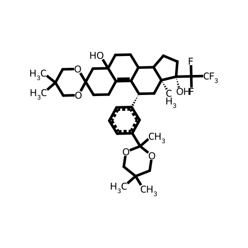 CC1(C)COC2(CCC3=C4C(CCC3(O)C2)C2CC[C@@](O)(C(F)(F)C(F)(F)F)[C@@]2(C)C[C@@H]4c2cccc(C3(C)OCC(C)(C)CO3)c2)OC1